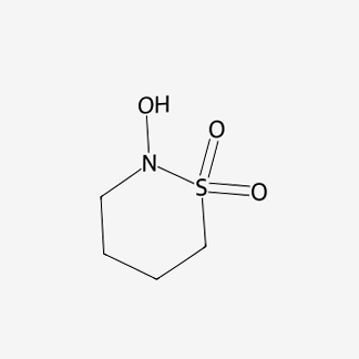 O=S1(=O)CCCCN1O